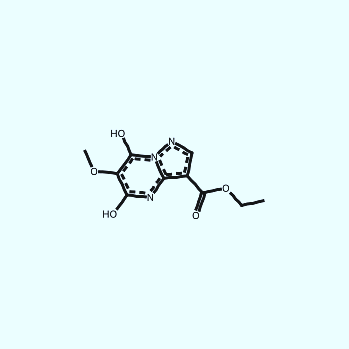 CCOC(=O)c1cnn2c(O)c(OC)c(O)nc12